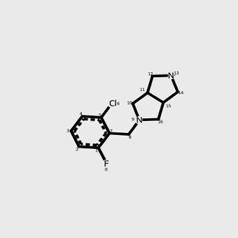 Fc1cccc(Cl)c1CN1CC2C[N]CC2C1